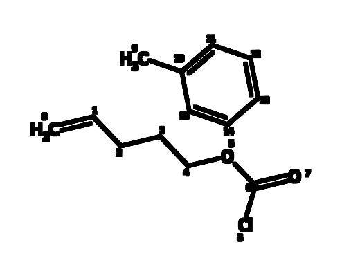 C=CCCCOC(=O)Cl.Cc1ccccc1